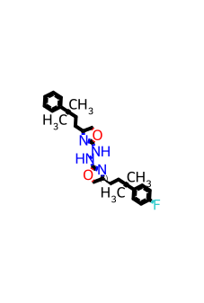 CC(C)(CCC1COC(NNC2=N[C@@H](CCC(C)(C)c3ccc(F)cc3)CO2)=N1)c1ccccc1